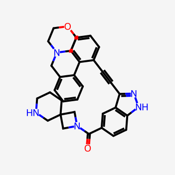 O=C(c1ccc2[nH]nc(C#Cc3ccccc3-c3ccccc3CN3CCOCC3)c2c1)N1CC2(CCCNC2)C1